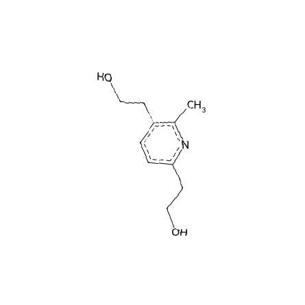 Cc1nc(CCO)ccc1CCO